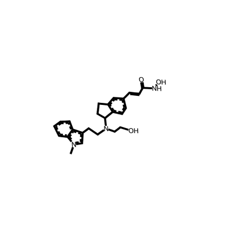 Cn1cc(CCN(CCO)C2CCc3cc(C=CC(=O)NO)ccc32)c2ccccc21